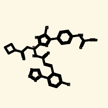 COC(=O)Nc1ccc(-c2nc([C@H](CC(=O)N3CCC3)NC(=O)C=Cc3cc(Cl)ccc3-n3cnnn3)[nH]c2Cl)cc1